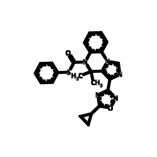 CC1(C)c2c(-c3noc(C4CC4)n3)ncn2-c2ccccc2N1C(=O)Sc1ccccc1